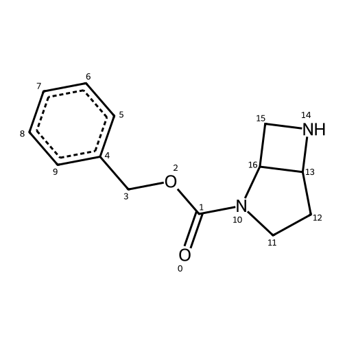 O=C(OCc1ccccc1)N1CCC2NCC21